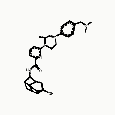 CC1CN(c2ccc(CN(C)C)cc2)CCN1c1cccc(C(=O)NC2C3CC4CC2CC(O)(C4)C3)n1